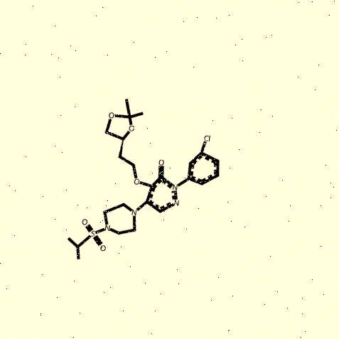 CC(C)S(=O)(=O)N1CCN(c2cnn(-c3cccc(Cl)c3)c(=O)c2OCC[C@H]2COC(C)(C)O2)CC1